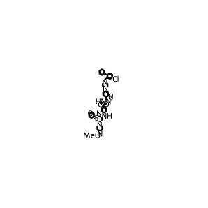 CON=C1CCN(CCC(CSc2ccccc2)Nc2ccc(S(=O)(=O)Nc3ncnc4cc(N5CCN(Cc6cc(Cl)ccc6-c6ccccc6)CC5)ccc34)cc2[N+](=O)[O-])CC1